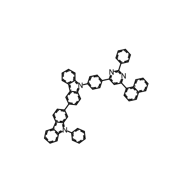 c1ccc(-c2nc(-c3ccc(-n4c5ccccc5c5cc(-c6ccc7c8ccccc8n(-c8ccccc8)c7c6)ccc54)cc3)cc(-c3cccc4ccccc34)n2)cc1